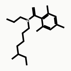 C=C(c1c(C)cc(C)cc1C)N(CCC)CCCCC(C)CC